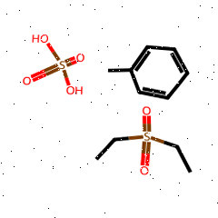 CCS(=O)(=O)CC.Cc1ccccc1.O=S(=O)(O)O